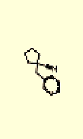 N#CC1(Cc2ccccc2)CCCC1